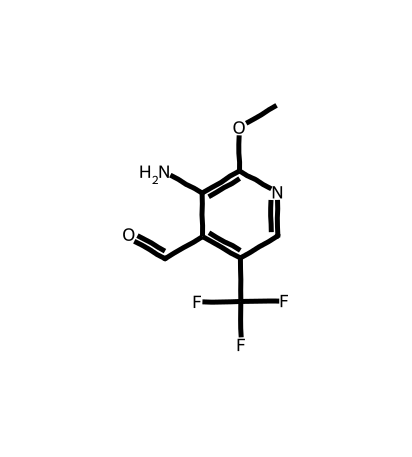 COc1ncc(C(F)(F)F)c(C=O)c1N